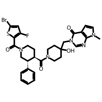 Cn1ccc2c(=O)n(CC3(O)CCN(C(=O)[C@@H]4CCN(C(=O)c5sc(Br)cc5F)C[C@H]4c4ccccc4)CC3)cnc21